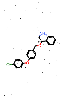 NC[C@H](OCc1ccc(Oc2ccc(Cl)cc2)cc1)c1ccccc1